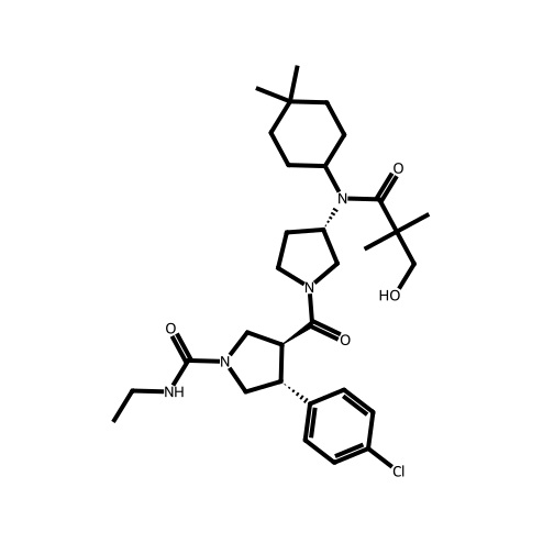 CCNC(=O)N1C[C@@H](C(=O)N2CC[C@H](N(C(=O)C(C)(C)CO)C3CCC(C)(C)CC3)C2)[C@H](c2ccc(Cl)cc2)C1